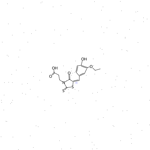 CCOc1cc(/C=C2/SC(=S)N(CCC(=O)O)C2=O)ccc1O